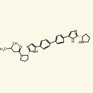 CC(C)CC(=O)N1CCC[C@H]1c1ncc(-c2ccc(-c3ccc(-c4cnc([C@@H]5CCCN5)[nH]4)cc3)cc2)[nH]1